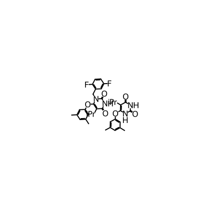 Cc1cc(C)cc(Oc2[nH]c(=O)[nH]c(=O)c2C(C)C)c1.Cc1cc(C)cc(Oc2c(C(C)C)c(=O)[nH]c(=O)n2Cc2cc(F)ccc2F)c1